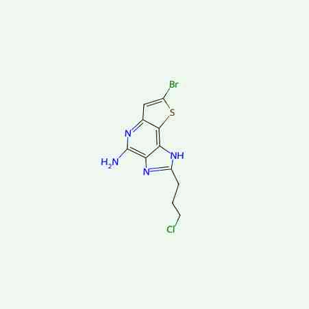 Nc1nc2cc(Br)sc2c2[nH]c(CCCCl)nc12